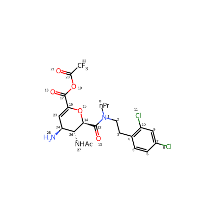 CCCN(CCc1ccc(Cl)cc1Cl)C(=O)[C@@H]1OC(C(=O)OC(=O)C(F)(F)F)=C[C@H](N)[C@H]1NC(C)=O